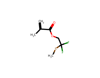 C=C(C)C(=O)OCC(F)(F)SC